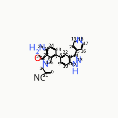 C=C(C#N)CN1Cc2c(-c3ccc4[nH]nc(-c5ccncc5)c4c3)ccc(N)c2C1=O